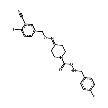 N#Cc1cc(CON=C2CCN(C(=O)ONCc3ccc(F)cc3)CC2)ccc1F